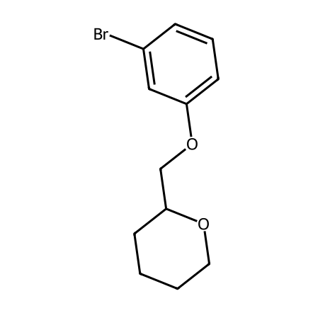 Brc1cccc(OCC2CCCCO2)c1